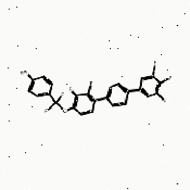 CCCc1ccc(C(F)(F)Oc2ccc(-c3ccc(-c4cc(F)c(F)c(F)c4)cc3)c(F)c2F)cc1